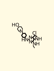 CCNc1nc(Nc2ccc(N3CCC(O)CC3)cc2)nc2c(Cl)c[nH]c12